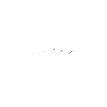 C=CC(C)(CCC=C(C)C)OC(=O)CCCCCCCCCCCCCCC